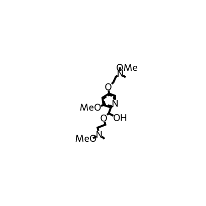 COc1cc(OCCN(C)OC)cnc1C(O)OCCN(C)OC